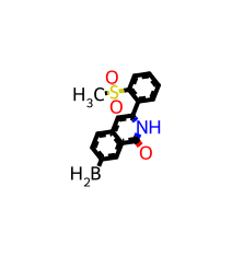 Bc1ccc2cc(-c3ccccc3S(C)(=O)=O)[nH]c(=O)c2c1